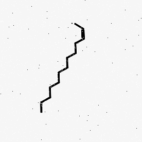 [CH2]/C=C\CCCCCCCCCC